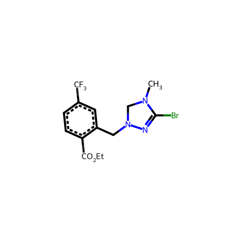 CCOC(=O)c1ccc(C(F)(F)F)cc1CN1CN(C)C(Br)=N1